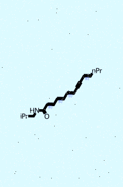 CCC/C=C/C#C/C=C/C=C/C=C/C(=O)NCC(C)C